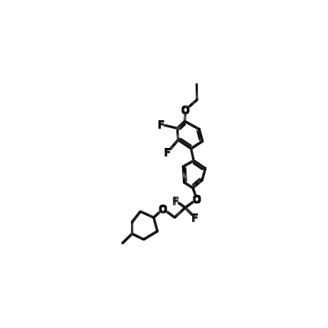 CCOc1ccc(-c2ccc(OC(F)(F)COC3CCC(C)CC3)cc2)c(F)c1F